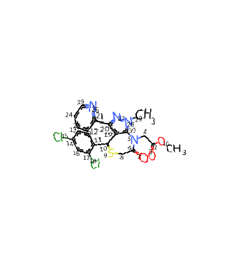 COC(=O)CN1C(=O)CSC(c2ccc(Cl)cc2Cl)c2c(-c3ccccn3)nn(C)c21